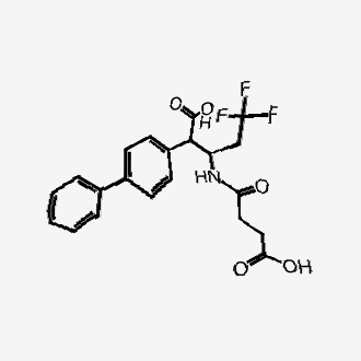 O=C(O)CCC(=O)N[C@H](CC(F)(F)F)C(C(=O)O)c1ccc(-c2ccccc2)cc1